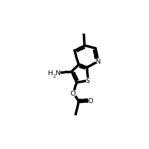 CC(=O)Oc1sc2ncc(C)cc2c1N